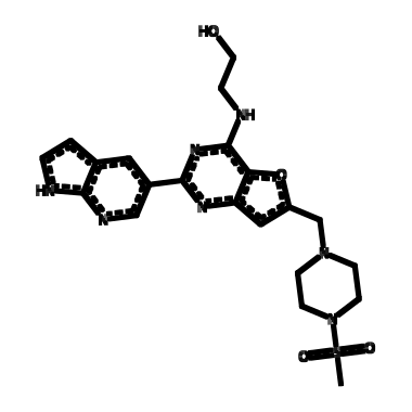 CS(=O)(=O)N1CCN(Cc2cc3nc(-c4cnc5[nH]ccc5c4)nc(NCCO)c3o2)CC1